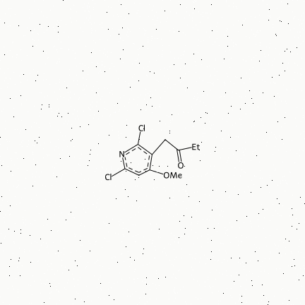 CCC(=O)Cc1c(OC)cc(Cl)nc1Cl